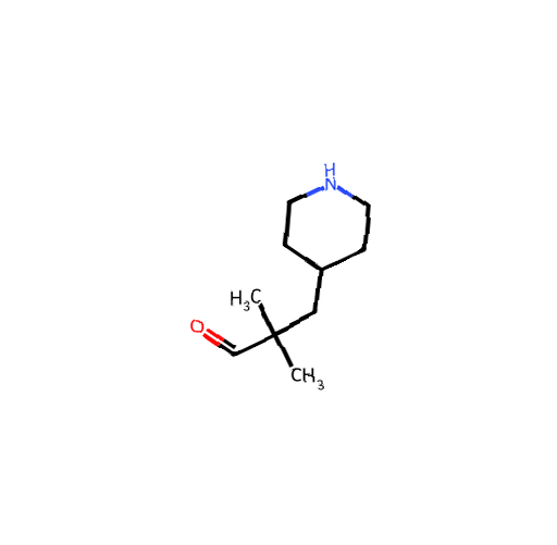 CC(C)(C=O)CC1CCNCC1